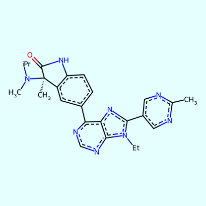 CCn1c(-c2cnc(C)nc2)nc2c(-c3ccc4c(c3)[C@@](C)(N(C)C(C)C)C(=O)N4)ncnc21